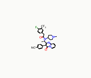 C[C@H](c1nc2ccccn2c(=O)c1-c1ccc(C#N)cc1)N(C(=O)Cc1ccc(F)c(C(F)(F)F)c1)C1CCN(C)CC1